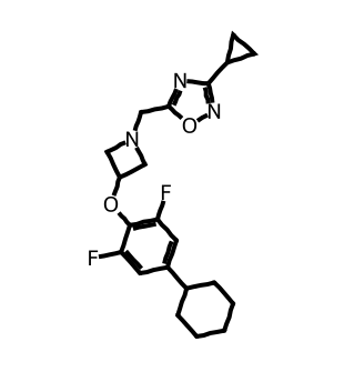 Fc1cc(C2CCCCC2)cc(F)c1OC1CN(Cc2nc(C3CC3)no2)C1